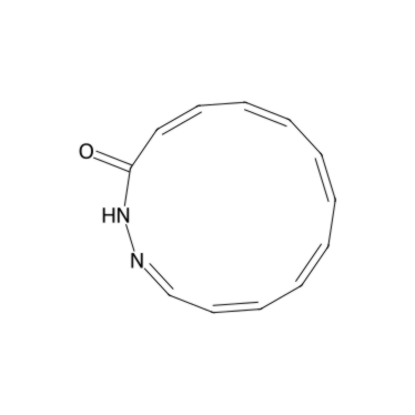 O=c1cccccccccccn[nH]1